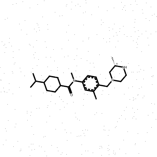 Cc1cc(N(C)C(=O)C2[CH]CC(C(C)C)CC2)ccc1CN1CCN[C@@H](C)C1